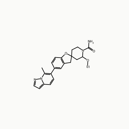 CCOC1CC2(CCN1C(N)=O)Cc1cc(-c3ccc4ccnn4c3C)ccc1O2